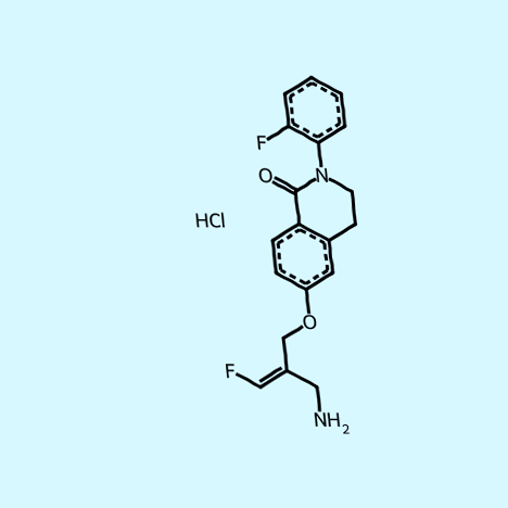 Cl.NC/C(=C/F)COc1ccc2c(c1)CCN(c1ccccc1F)C2=O